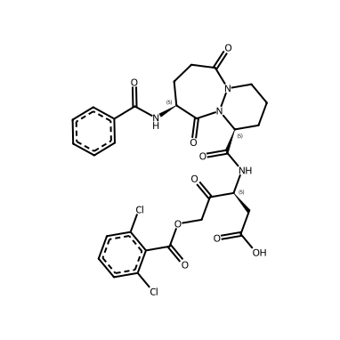 O=C(O)C[C@H](NC(=O)[C@@H]1CCCN2C(=O)CC[C@H](NC(=O)c3ccccc3)C(=O)N12)C(=O)COC(=O)c1c(Cl)cccc1Cl